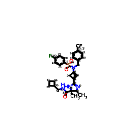 CC1N=C(C23CC(N(Cc4ccc(C(F)(F)F)cc4)S(=O)(=O)c4ccc(F)cc4)(C2)C3)N[C@@]1(C)C(=O)NCC1CCC1